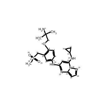 CC(C)(N)COc1ccc(Nc2cc(NC3CC3)n3nccc3n2)cc1CS(C)(=O)=O